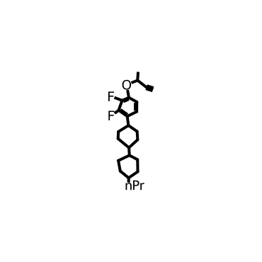 C#CC(C)Oc1ccc(C2CCC(C3CCC(CCC)CC3)CC2)c(F)c1F